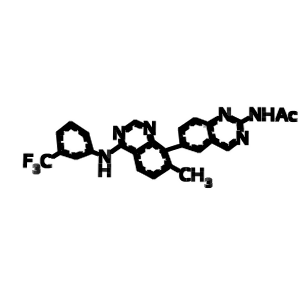 CC(=O)Nc1ncc2cc(-c3c(C)ccc4c(Nc5cccc(C(F)(F)F)c5)ncnc34)ccc2n1